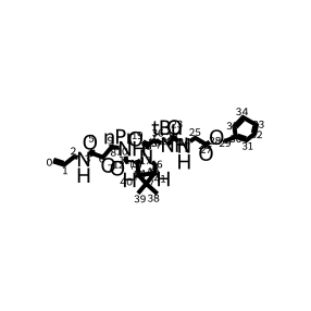 C=CCNC(=O)C(=O)C(CCC)NC(=O)[C@@H]1[C@@H]2[C@H](CN1C(=O)[C@@H](NC(=O)NCC(=O)OCc1ccccc1)C(C)(C)C)C2(C)C